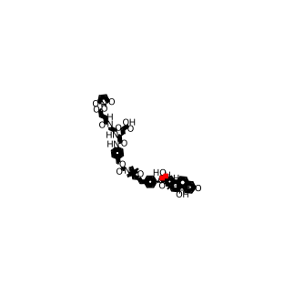 C[C@]12C=CC(=O)C=C1CC[C@@H]1[C@@H]2[C@@H](O)C[C@@]2(C)[C@H]1C[C@H]1O[C@@H](c3ccc(CC4CC5(CO4)CN(C(=O)OCc4ccc(NC(=O)[C@H](CCC(=O)O)NC(=O)CNC(=O)CCC(=O)ON6C(=O)C=CC6=O)cc4)C5)cc3)O[C@]12C(=O)CO